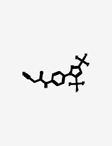 N#CCC(=O)Nc1ccc(-n2nc(C(F)(F)F)cc2C(F)(F)F)cc1